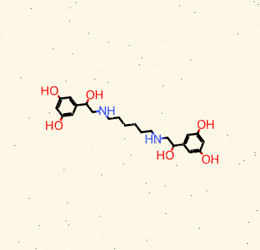 Oc1cc(O)cc(C(O)CNCCCCCCNCC(O)c2cc(O)cc(O)c2)c1